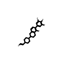 FC=CC1CCC(C2CCc3c(ccc(-c4cc(F)c(F)c(F)c4)c3F)C2)CC1